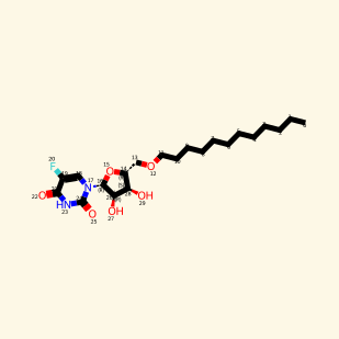 CCCCCCCCCCCCOC[C@H]1O[C@@H](n2cc(F)c(=O)[nH]c2=O)[C@H](O)[C@@H]1O